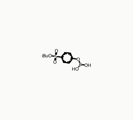 CC(C)COS(=O)(=O)c1ccc(OB(O)O)cc1